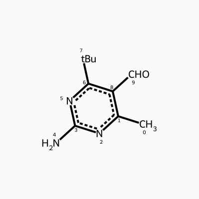 Cc1nc(N)nc(C(C)(C)C)c1C=O